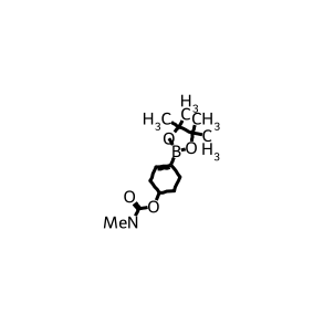 CNC(=O)OC1CC=C(B2OC(C)(C)C(C)(C)O2)CC1